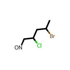 CC(Br)CC(Cl)CN=O